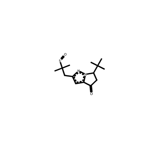 CC(C)(Cc1cc2n(n1)C(C(C)(C)C)CC2=O)[S+]=O